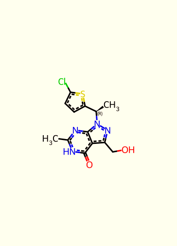 Cc1nc2c(c(CO)nn2[C@H](C)c2ccc(Cl)s2)c(=O)[nH]1